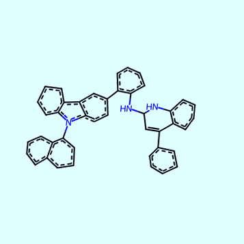 C1=C(c2ccccc2)c2ccccc2NC1Nc1ccccc1-c1ccc2c(c1)c1ccccc1n2-c1cccc2ccccc12